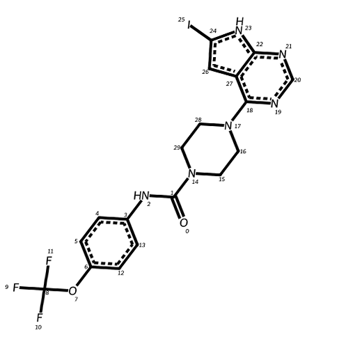 O=C(Nc1ccc(OC(F)(F)F)cc1)N1CCN(c2ncnc3[nH]c(I)cc23)CC1